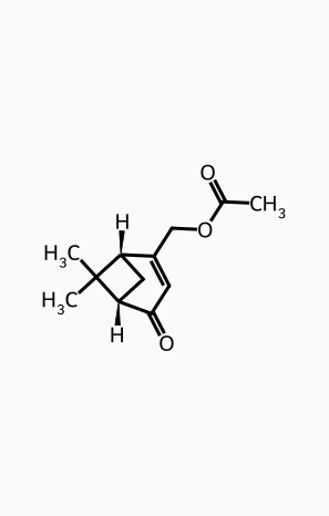 CC(=O)OCC1=CC(=O)[C@H]2C[C@@H]1C2(C)C